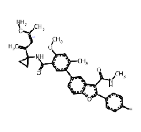 C=C(/C=C(/C)ON)C1(NC(=O)c2cc(-c3ccc4oc(-c5ccc(F)cc5)c(C(=O)NC)c4c3)c(C)cc2OC)CC1